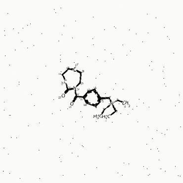 CC[N+](CC)(CC)Cc1ccc(C(=O)N2CCCCCCC2=O)cc1